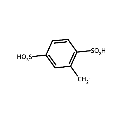 [CH2]c1cc(S(=O)(=O)O)ccc1S(=O)(=O)O